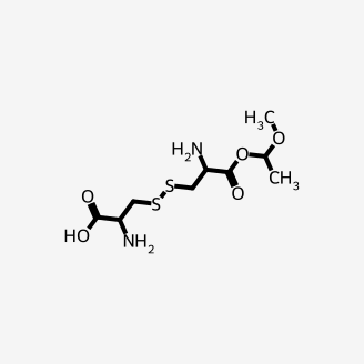 COC(C)OC(=O)C(N)CSSCC(N)C(=O)O